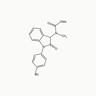 CCC(C)c1ccc(N2C(=O)C(N(C)C(=O)OC)c3ccccc32)cc1